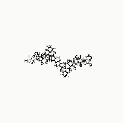 CC1(C)S[C@@H]2[C@H](N(C(=O)CCCCCCCCC(=O)N(C(=O)C(NC(N)=O)c3ccccc3)[C@@H]3C(=O)N4[C@@H]3SC(C)(C)[C@@H]4C(=O)OC3OC(=O)c4ccccc43)C(=O)C(NC(N)=O)c3ccccc3)C(=O)N2[C@H]1C(=O)O